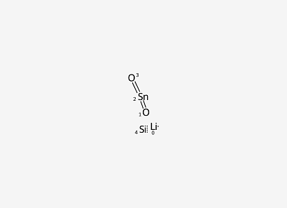 [Li].[O]=[Sn]=[O].[Si]